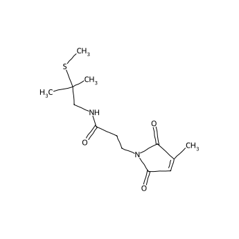 CSC(C)(C)CNC(=O)CCN1C(=O)C=C(C)C1=O